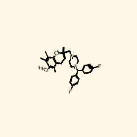 Cc1c(C)c2c(c(C)c1O)CCC(C)(CN1CCN(C(c3ccc(F)cc3)c3ccc(F)cc3)CC1)O2